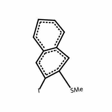 CSc1cc2ccccc2cc1I